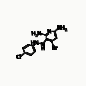 Nc1cc(Br)c(NNc2ccc(Cl)cc2)c(N)n1